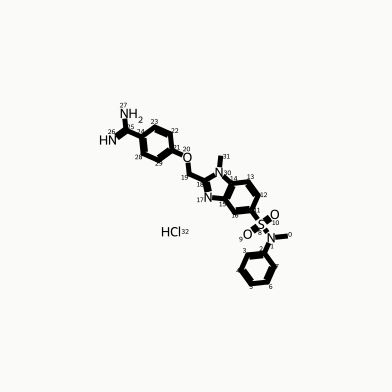 CN(c1ccccc1)S(=O)(=O)c1ccc2c(c1)nc(COc1ccc(C(=N)N)cc1)n2C.Cl